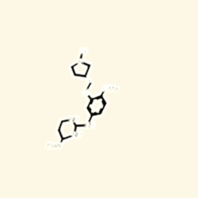 CCN1CC[C@@H](COc2cc(NC3NCCC(NC)N3)ccc2OC)C1